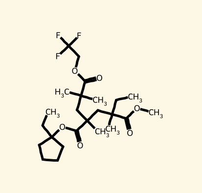 CCC1(OC(=O)C(C)(CC(C)(C)C(=O)OCC(F)(F)F)CC(C)(CC)C(=O)OC)CCCC1